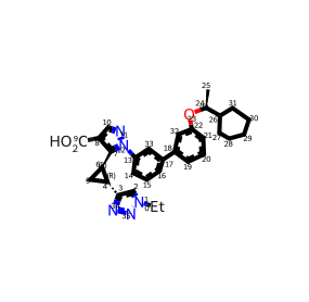 CCn1cc([C@@H]2C[C@H]2c2c(C(=O)O)cnn2-c2cccc(-c3cccc(O[C@@H](C)C4CCCCC4)c3)c2)nn1